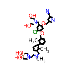 Cc1c(COc2cc(OCc3cncc(C#N)c3)c(CN(CCO)CCO)cc2Cl)cccc1-c1cccc(CN(C)CCN2CCS(O)(O)CC2)c1C